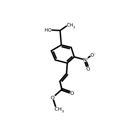 COC(=O)/C=C/c1ccc(C(C)O)cc1[N+](=O)[O-]